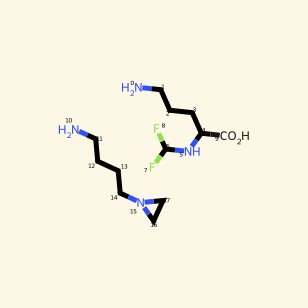 NCCCC(NC(F)F)C(=O)O.NCCCCN1CC1